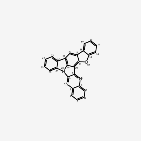 c1ccc2nc3c(nc2c1)c1c2oc4ccccc4c2cc2c4ccccc4n3c21